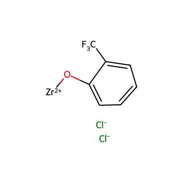 FC(F)(F)c1ccccc1[O][Zr+2].[Cl-].[Cl-]